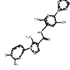 Cc1nc(-n2nccn2)c(C#N)cc1NC(=O)c1cnn(-c2ccc(Cl)c(N)n2)c1C(F)(F)F